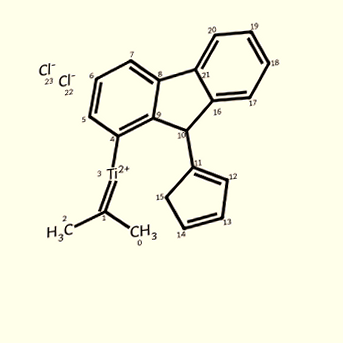 C[C](C)=[Ti+2][c]1cccc2c1C(C1=CC=CC1)c1ccccc1-2.[Cl-].[Cl-]